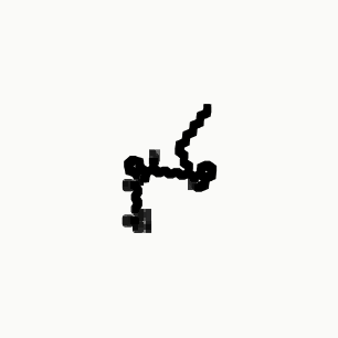 CCCCCCCC/C=C\CCCC(CCCC/C=C(\C#N)c1cn(C(=O)CCCCNC(=O)O)c2ccccc12)c1nccc2ccccc12